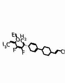 C=C(/C(F)=C(F)\C(=C/C)OCC)[C@@H]1C=CC(C2CCC(/C=C/C)CC2)=CC1